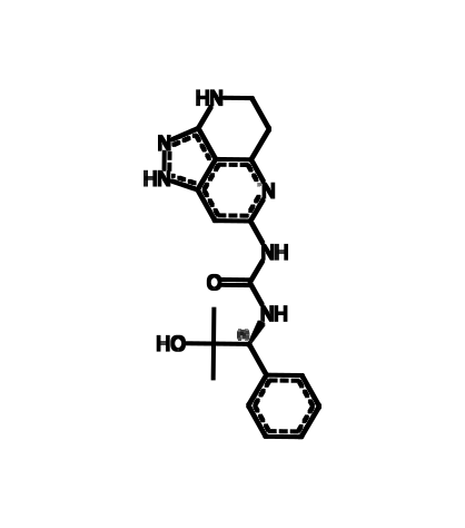 CC(C)(O)[C@@H](NC(=O)Nc1cc2[nH]nc3c2c(n1)CCN3)c1ccccc1